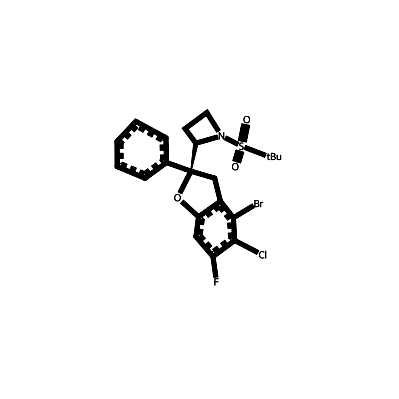 CC(C)(C)S(=O)(=O)N1CCC1[C@@]1(c2ccccc2)Cc2c(cc(F)c(Cl)c2Br)O1